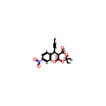 CC#CC(c1ccc([N+](=O)[O-])cc1)C1C(=O)OC(C)(C)OC1=O